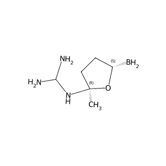 B[C@H]1CC[C@](C)(NC(N)N)O1